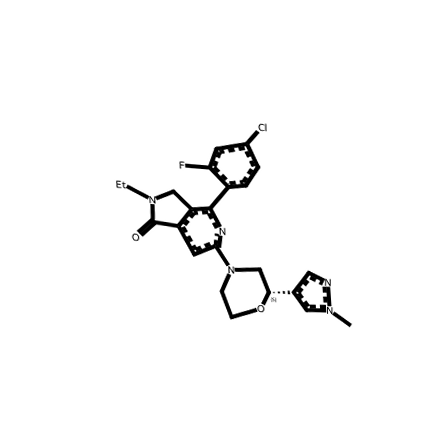 CCN1Cc2c(cc(N3CCO[C@@H](c4cnn(C)c4)C3)nc2-c2ccc(Cl)cc2F)C1=O